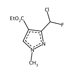 CCOC(=O)c1cn(C)nc1C(F)Cl